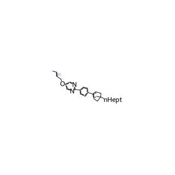 C/C=C/COc1cnc(-c2ccc(C34CCC(CCCCCCC)(CC3)CC4)cc2)nc1